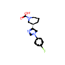 O=C(O)N1CCC[C@H](c2cn(-c3ccc(F)cc3)cn2)C1